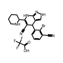 N#CC1=C(C2CCCCN2)Nc2n[nH]cc2C1c1cccc(C#N)c1Br.O=C(O)C(F)(F)F